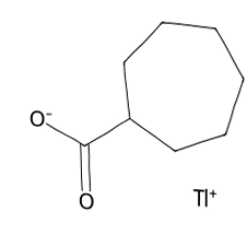 O=C([O-])C1CCCCCC1.[Tl+]